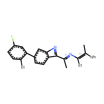 CCC/C(C)=C(CC)/N=C(\C)C1=Nc2cc(-c3cc(F)ccc3CC)ccc21